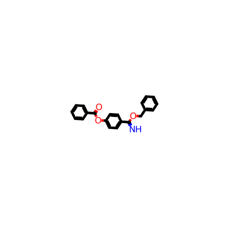 N=C(OCc1ccccc1)c1ccc(OC(=O)c2ccccc2)cc1